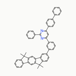 CC1(C)c2ccccc2-c2cc3c(cc21)-c1cc(-c2cccc(-c4cc(-c5ccc(-c6ccccc6)cc5)nc(-c5ccccc5)n4)c2)ccc1C3(C)C